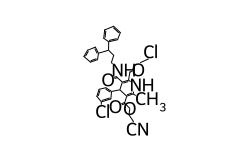 CC1=C(C(=O)OCCC#N)C(c2cccc(Cl)c2)C(C(=O)NCCC(c2ccccc2)c2ccccc2)=C(COCCCl)N1